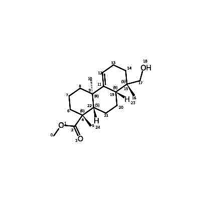 COC(=O)[C@]1(C)CCC[C@@]2(C)C3=CCC[C@](C)(CO)[C@@H]3CC[C@H]12